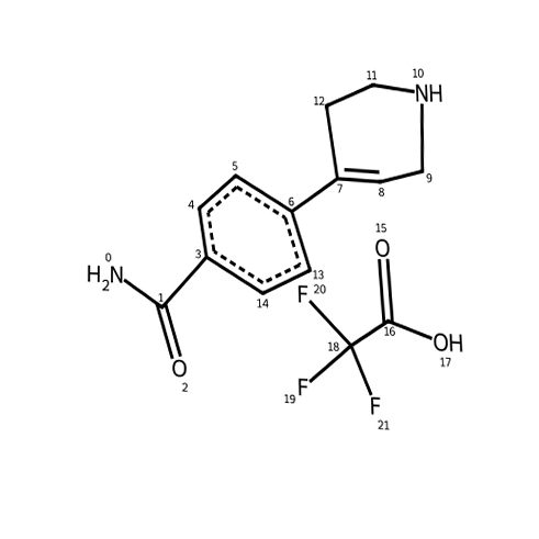 NC(=O)c1ccc(C2=CCNCC2)cc1.O=C(O)C(F)(F)F